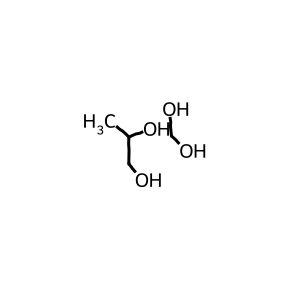 CC(O)CO.OCO